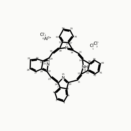 [Al+3].[Cl-].[Cl-].[Cl-].c1ccc2c(c1)-c1cc3[nH]c(cc4nc(cc5[nH]c(cc-2n1)c1ccccc51)-c1ccccc1-4)c1ccccc31